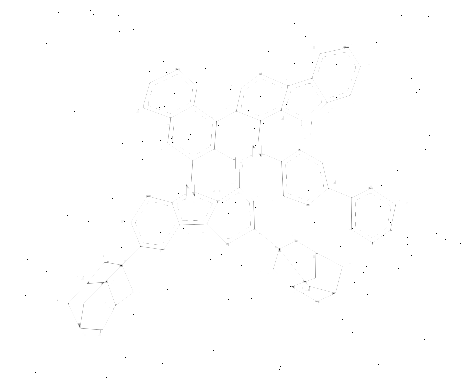 c1ccc(-c2ccc(N3B4c5c(cc6ccccc6c5-c5ccc6c(oc7ccccc76)c53)-n3c5ccc(C67CC8CC(CC(C8)C6)C7)cc5c5cc(C67CC8CC(CC(C8)C6)C7)cc4c53)cc2)cc1